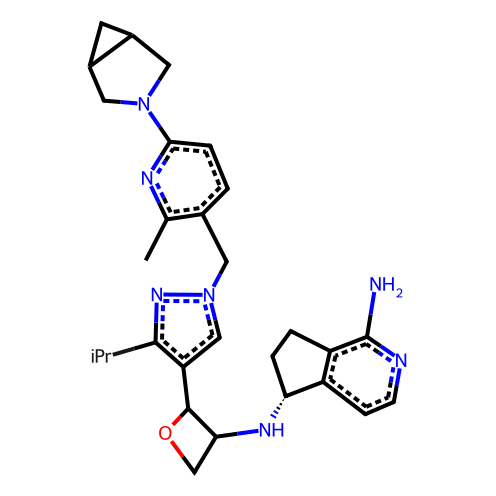 Cc1nc(N2CC3CC3C2)ccc1Cn1cc(C2OCC2N[C@@H]2CCc3c2ccnc3N)c(C(C)C)n1